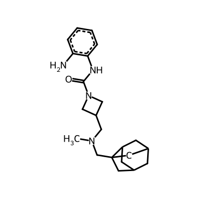 CN(CC1CN(C(=O)Nc2ccccc2N)C1)CC12CC3CC(CC1C3)C2